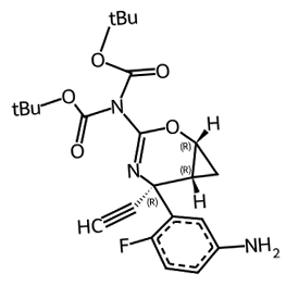 C#C[C@]1(c2cc(N)ccc2F)N=C(N(C(=O)OC(C)(C)C)C(=O)OC(C)(C)C)O[C@@H]2C[C@@H]21